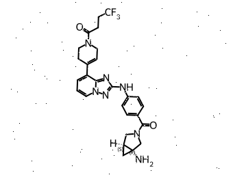 N[C@]12C[C@H]1CN(C(=O)c1ccc(Nc3nc4c(C5=CCN(C(=O)CCC(F)(F)F)CC5)cccn4n3)cc1)C2